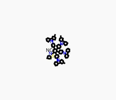 Cc1ccc2c(c1)c1ccccc1n2-c1ccc(-c2c(C#N)c(-c3nc4ccccc4s3)c(-c3ccc(-n4c5ccccc5c5cc(C)ccc54)cc3)c(-c3ccc(-n4c5ccccc5c5ccccc54)cc3)c2-c2ccc(-n3c4ccccc4c4cc(C)ccc43)cc2)cc1